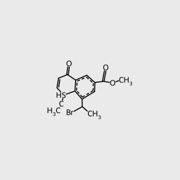 CC[SH]1C=CC(=O)c2cc(C(=O)OC)cc(C(C)Br)c21